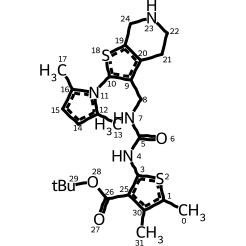 Cc1sc(NC(=O)NCc2c(-n3c(C)ccc3C)sc3c2CCNC3)c(C(=O)OC(C)(C)C)c1C